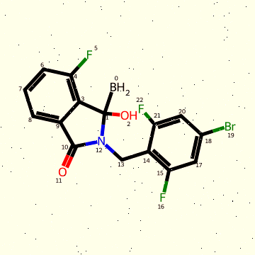 BC1(O)c2c(F)cccc2C(=O)N1Cc1c(F)cc(Br)cc1F